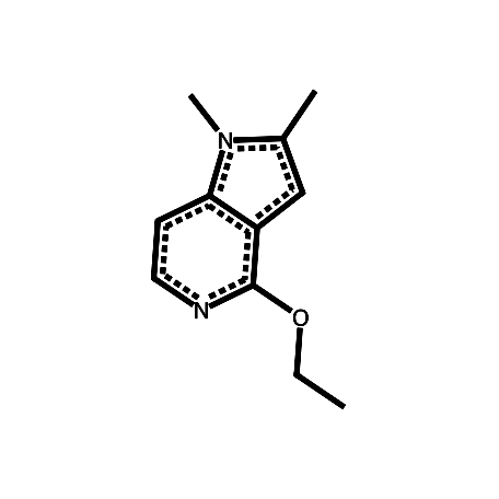 CCOc1nccc2c1cc(C)n2C